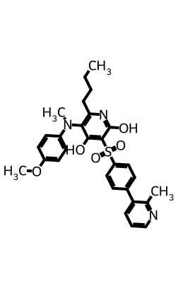 CCCCc1nc(O)c(S(=O)(=O)c2ccc(-c3cccnc3C)cc2)c(O)c1N(C)c1ccc(OC)cc1